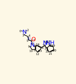 CN(C)C/C=C/C(=O)N1CCc2ccc(-c3n[nH]c4ccccc34)cc21